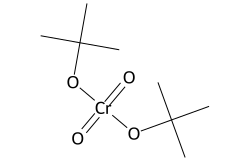 CC(C)(C)[O][Cr](=[O])(=[O])[O]C(C)(C)C